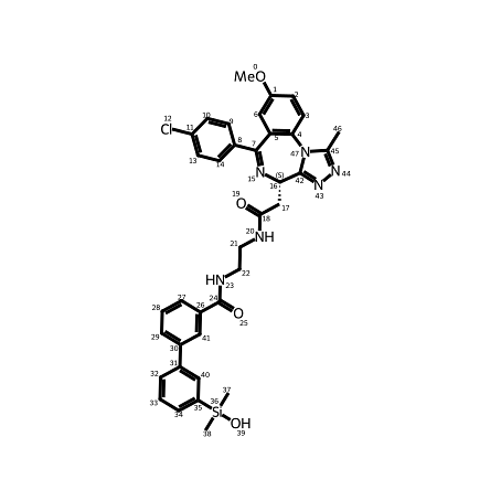 COc1ccc2c(c1)C(c1ccc(Cl)cc1)=N[C@@H](CC(=O)NCCNC(=O)c1cccc(-c3cccc([Si](C)(C)O)c3)c1)c1nnc(C)n1-2